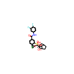 O=C(Nc1ccc(F)c(F)c1)c1ccc(Cl)c(S(=O)(=O)[C@H]2CC3CCC(C2)[C@]3(O)[C@H](O)[C@@H](O)C2CC2)c1